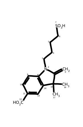 C=C1N(CCCCS(=O)(=O)O)c2ccc(C(=O)O)cc2C1(C)C